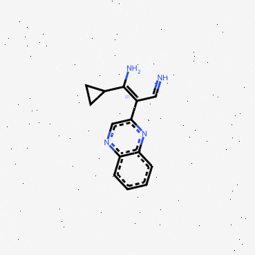 N=C/C(=C(\N)C1CC1)c1cnc2ccccc2n1